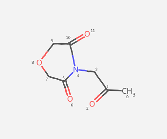 CC(=O)CN1C(=O)COCC1=O